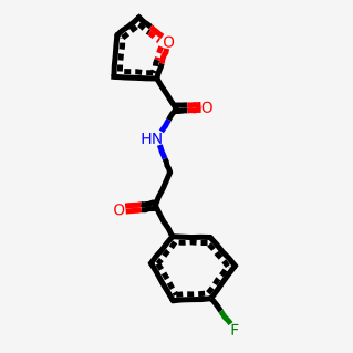 O=C(CNC(=O)c1ccco1)c1ccc(F)cc1